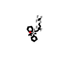 CC(C)(C)[SH](C)(CCC(F)(F)CCSC(F)(F)F)(c1ccccc1)c1ccccc1